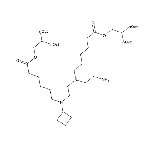 CCCCCCCCC(CCCCCCCC)COC(=O)CCCCCN(CCN)CCN(CCCCCC(=O)OCC(CCCCCCCC)CCCCCCCC)C1CCC1